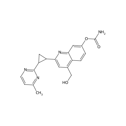 Cc1ccnc(C2CC2c2cc(CO)c3ccc(OC(N)=O)cc3n2)n1